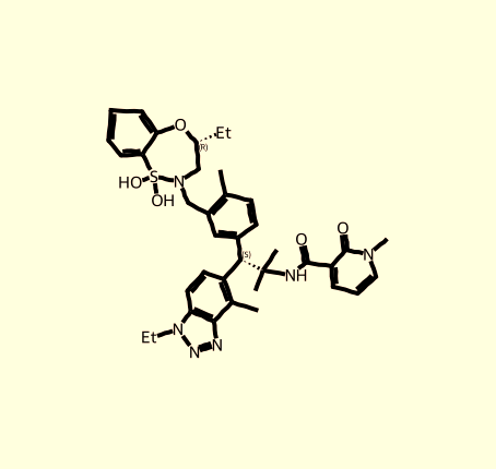 CC[C@@H]1CN(Cc2cc([C@@H](c3ccc4c(nnn4CC)c3C)C(C)(C)NC(=O)c3cccn(C)c3=O)ccc2C)S(O)(O)c2ccccc2O1